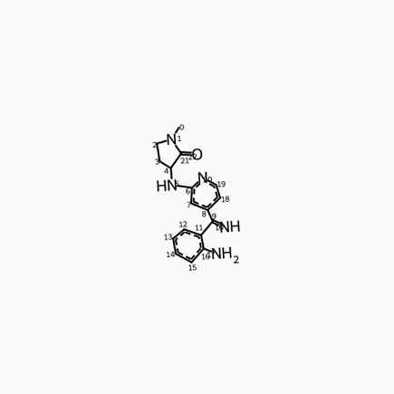 CN1CCC(Nc2cc(C(=N)c3ccccc3N)ccn2)C1=O